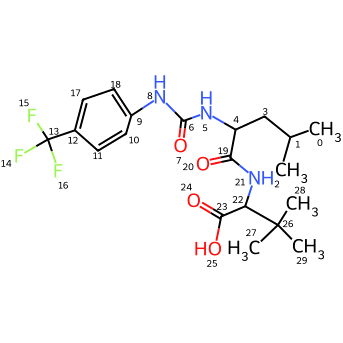 CC(C)CC(NC(=O)Nc1ccc(C(F)(F)F)cc1)C(=O)NC(C(=O)O)C(C)(C)C